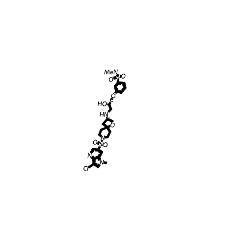 CNS(=O)(=O)c1cccc(OC[C@@H](O)CN[C@H]2COC3(CCN(S(=O)(=O)c4cnc5c(Cl)cn(C)c5c4)CC3)C2)c1